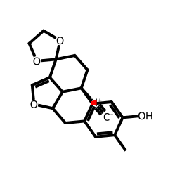 [C-]#[N+]C12CCC3(OCCO3)C3=COC(Cc4cc(C)c(O)cc41)C32